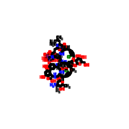 CC(C)C[C@H](C(=O)N[C@H]1C(=O)N[C@@H](CC(N)=O)C(=O)N[C@H]2C(=O)N[C@H]3C(=O)N[C@H](C(=O)N[C@H](C(=O)O)c4cc(O)cc(O)c4-c4cc3ccc4O)[C@H](O[C@H]3C[C@](C)(N)[C@@H](O)[C@H](C)O3)c3ccc(c(Cl)c3)Oc3cc2cc(c3O[C@@H]2O[C@H](CO)[C@@H](O)[C@H](O)[C@H]2O[C@H]2C[C@](C)(N)[C@@H](O)[C@H](C)O2)Oc2ccc(cc2Cl)[C@H]1O)N(C)C(=O)CCC(=O)NC(P(=O)(O)O)P(=O)(O)O